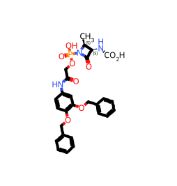 C[C@H]1[C@H](NC(=O)O)C(=O)N1P(=O)(O)OCC(=O)Nc1ccc(OCc2ccccc2)c(OCc2ccccc2)c1